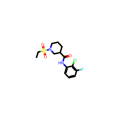 CCS(=O)(=O)N1CCCC(C(=O)Nc2cccc(F)c2Cl)C1